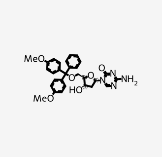 COc1ccc(C(OC[C@H]2O[C@@H](n3cnc(N)nc3=O)C[C@@H]2O)(c2ccccc2)c2ccc(OC)cc2)cc1